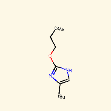 COCCOc1nc(C(C)(C)C)c[nH]1